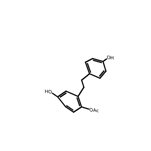 CC(=O)Oc1ccc(O)cc1CCc1ccc(O)cc1